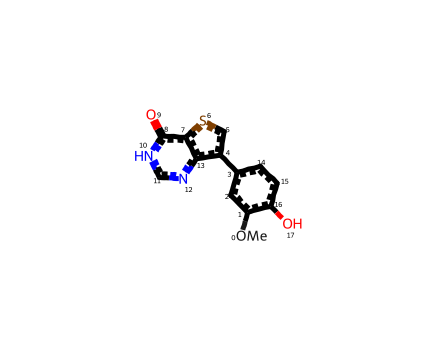 COc1cc(-c2csc3c(=O)[nH]cnc23)ccc1O